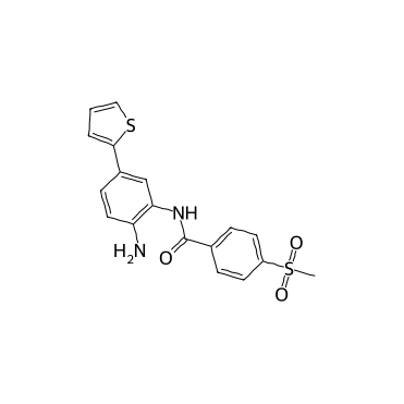 CS(=O)(=O)c1ccc(C(=O)Nc2cc(-c3cccs3)ccc2N)cc1